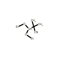 CCO[SiH](OCC)C(C)(C)C#N